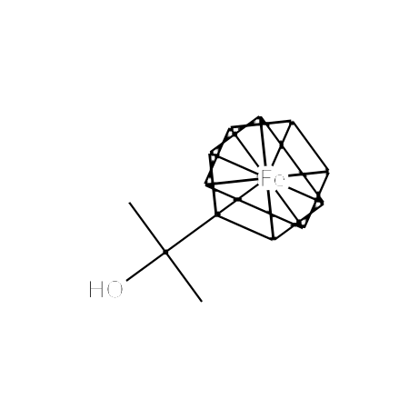 CC(C)(O)[C]12[CH]3[CH]4[CH]5[CH]1[Fe]45321678[CH]2[CH]1[CH]6[CH]7[CH]28